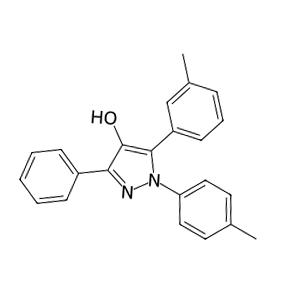 Cc1ccc(-n2nc(-c3ccccc3)c(O)c2-c2cccc(C)c2)cc1